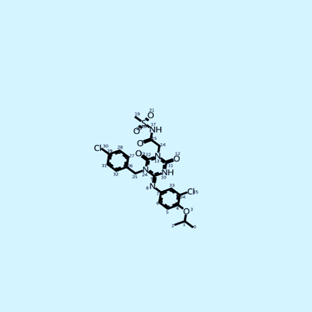 CC(C)Oc1ccc(/N=c2\[nH]c(=O)n(CC(=O)NS(C)(=O)=O)c(=O)n2Cc2ccc(Cl)cc2)cc1Cl